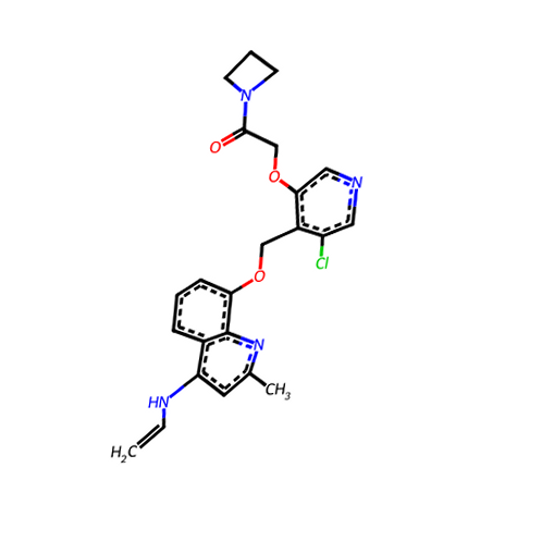 C=CNc1cc(C)nc2c(OCc3c(Cl)cncc3OCC(=O)N3CCC3)cccc12